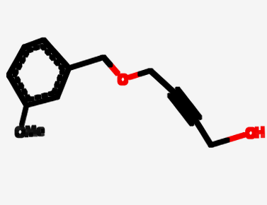 COc1cccc(COCC#CCO)c1